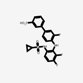 O=C(O)c1cccc(-c2ccc(Nc3c(NS(=O)(=O)C4CC4)ccc(F)c3F)c(F)c2)c1